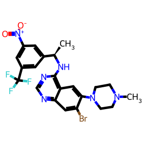 C[C@@H](Nc1ncnc2cc(Br)c(N3CCN(C)CC3)cc12)c1cc([N+](=O)[O-])cc(C(F)(F)F)c1